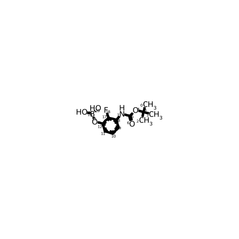 CC(C)(C)OC(=O)Nc1cccc(OB(O)O)c1F